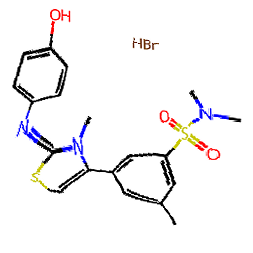 Br.Cc1cc(-c2csc(=Nc3ccc(O)cc3)n2C)cc(S(=O)(=O)N(C)C)c1